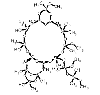 CO[Si](C)(O)O[Si](C)(OC)O[Si]1(C)O[Si](C)(OC)O[Si](C)(O)O[Si]2(C)O[Si](C)(OC)O[Si](C)(O[Si](C)(O)O[Si](C)(O)O[Si]3(C)O[Si]4(C)O[Si](C)(O)O[Si](C)(O4)O[Si](C)(O3)O1)O2